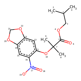 CC(C)COC(=O)C(C)(C)Oc1cc2c(cc1[N+](=O)[O-])OCO2